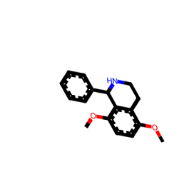 COc1ccc(OC)c2c1CCNC2c1ccccc1